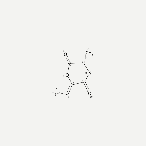 C/C=C1\OC(=O)[C@H](C)NC1=O